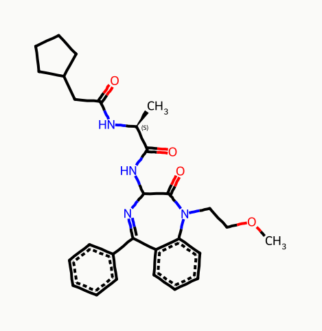 COCCN1C(=O)C(NC(=O)[C@H](C)NC(=O)CC2CCCC2)N=C(c2ccccc2)c2ccccc21